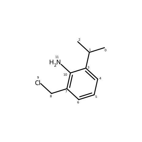 CC(C)c1cccc(CCl)c1N